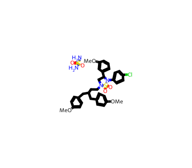 COc1ccc(CC(CCN2CC(c3cccc(OC)c3)N(c3ccc(Cl)cc3)S2(=O)=O)Cc2ccc(OC)cc2)cc1.NS(N)(=O)=O